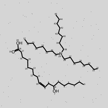 CCCCCCC(O)C/C=C\CCCCCCCC(=O)O.CCCCCCCCN(CCCCCCCC)CCCCCCCC